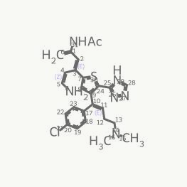 C=C(/C=C(\C=C/N)c1cc(/C(=C/CCN(C)C)c2ccc(Cl)cc2)c(-c2nnc[nH]2)s1)NC(C)=O